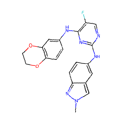 Cn1cc2cc(Nc3ncc(F)c(Nc4ccc5c(c4)OCCO5)n3)ccc2n1